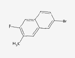 Cc1cc2cc(Br)ccc2cc1F